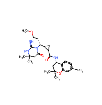 COCC[C@H]([C@@H]1C[C@H]1C(=O)N[C@H]1CC(C)(C)Oc2cc(C)ccc21)N1C(=N)NC(C)(C)CC1=O